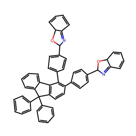 C1=CC2=NC(c3ccc(-c4ccc5c(c4-c4ccc(C6N=C7C=CC=CC7O6)cc4)-c4ccccc4C5(c4ccccc4)c4ccccc4)cc3)OC2C=C1